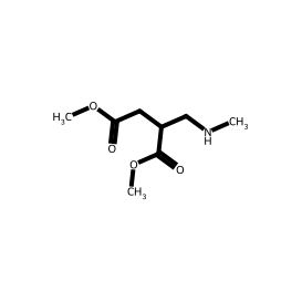 CNCC(CC(=O)OC)C(=O)OC